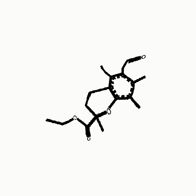 CCOC(=O)C1(C)CCc2c(C)c(C=O)c(C)c(C)c2O1